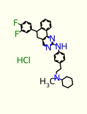 CN(CCc1ccc(Nc2ncc3c(n2)-c2ccccc2C(c2ccc(F)c(F)c2)C3)cc1)C1CCCCC1.Cl